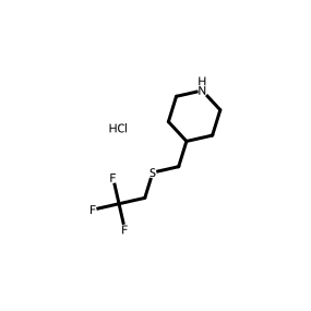 Cl.FC(F)(F)CSCC1CCNCC1